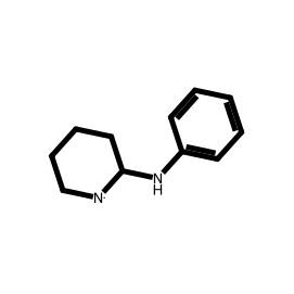 c1ccc(NC2CCCC[N]2)cc1